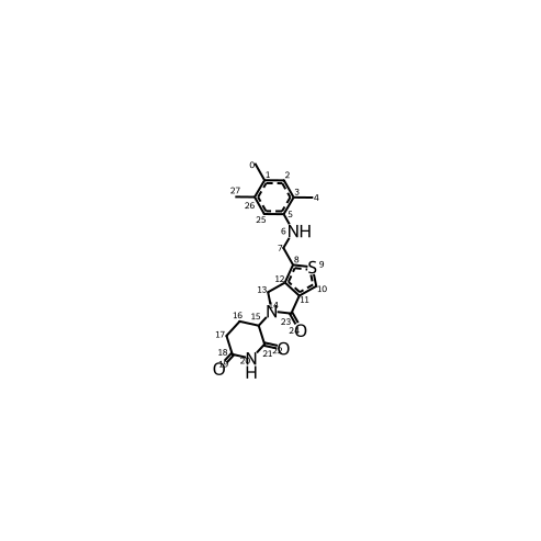 Cc1cc(C)c(NCc2scc3c2CN(C2CCC(=O)NC2=O)C3=O)cc1C